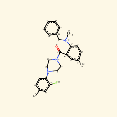 CC(=O)c1ccc(N2CCN(C(=O)c3cc(C#N)ccc3N(C)Cc3ccccc3)CC2)c(F)c1